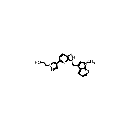 Cn1cc(Cn2nnc3ccc(-c4cnn(CCO)c4)nc32)c2cccnc21